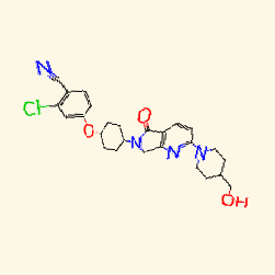 N#Cc1ccc(O[C@H]2CC[C@H](N3Cc4nc(N5CCC(CO)CC5)ccc4C3=O)CC2)cc1Cl